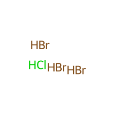 Br.Br.Br.Cl